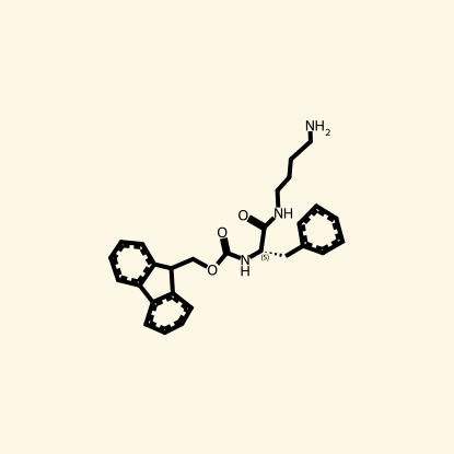 NCCCCNC(=O)[C@H](Cc1ccccc1)NC(=O)OCC1c2ccccc2-c2ccccc21